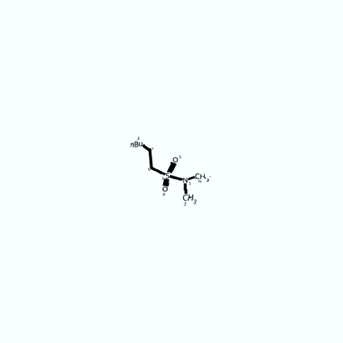 [CH2]N(C)S(=O)(=O)CCCCCC